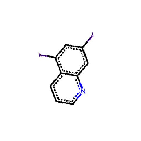 Ic1cc(I)c2cccnc2c1